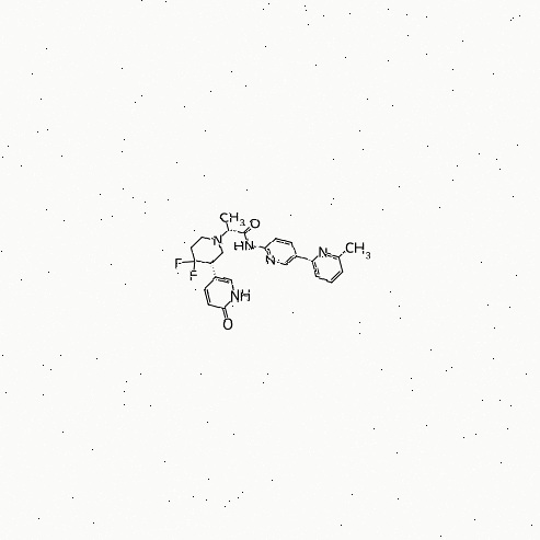 Cc1cccc(-c2ccc(NC(=O)C(C)N3CCC(F)(F)[C@@H](c4ccc(=O)[nH]c4)C3)nc2)n1